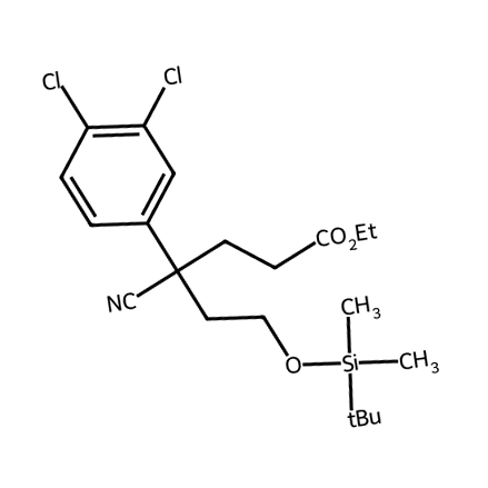 CCOC(=O)CCC(C#N)(CCO[Si](C)(C)C(C)(C)C)c1ccc(Cl)c(Cl)c1